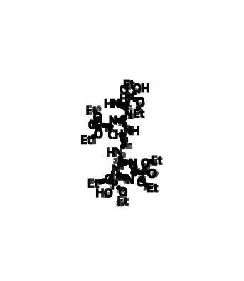 CCOP(=O)(OCC)/C(C)=N/C(=N\C(=N)[PH](O)(OCC)OCC)NCCNc1nc(P(=O)(OCC)OCC)nc([PH](O)(OCC)OCC)n1